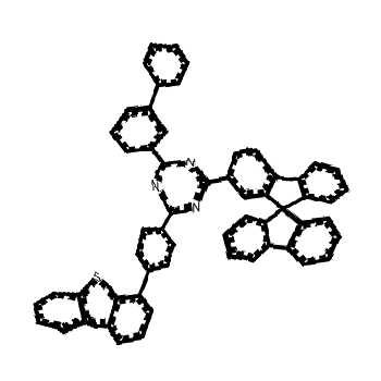 c1ccc(-c2cccc(-c3nc(-c4ccc(-c5cccc6c5sc5ccccc56)cc4)nc(-c4ccc5c(c4)C4(c6ccccc6-c6ccccc64)c4ccccc4-5)n3)c2)cc1